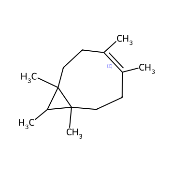 C/C1=C(\C)CCC2(C)C(C)C2(C)CC1